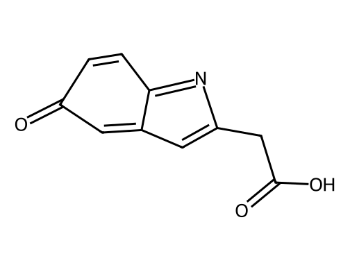 O=C1C=CC2=NC(CC(=O)O)=CC2=C1